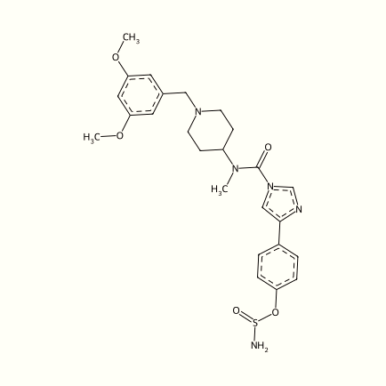 COc1cc(CN2CCC(N(C)C(=O)n3cnc(-c4ccc(OS(N)=O)cc4)c3)CC2)cc(OC)c1